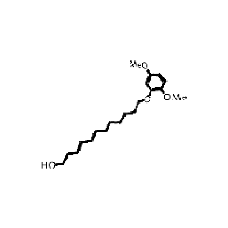 COc1ccc(OC)c(OCCCCCCCCCCCCO)c1